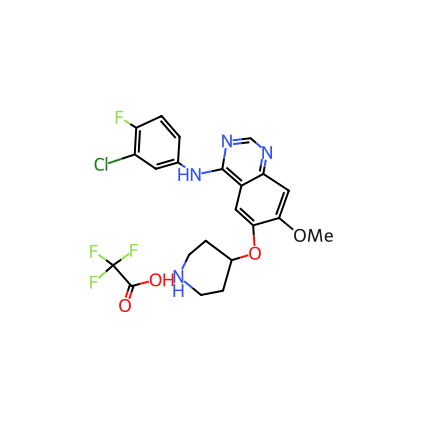 COc1cc2ncnc(Nc3ccc(F)c(Cl)c3)c2cc1OC1CCNCC1.O=C(O)C(F)(F)F